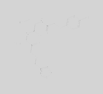 CCCC[C@H](NC(=O)[C@H](CC(C)C)NC(=O)COc1ccc(Cl)cc1)C(=O)CSCc1ccco1